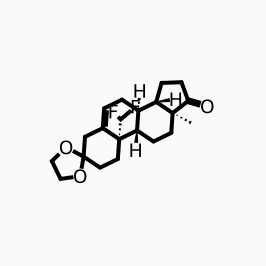 C[C@]12CC[C@H]3[C@@H](CC=C4CC5(CC[C@@]43C(F)F)OCCO5)[C@@H]1CCC2=O